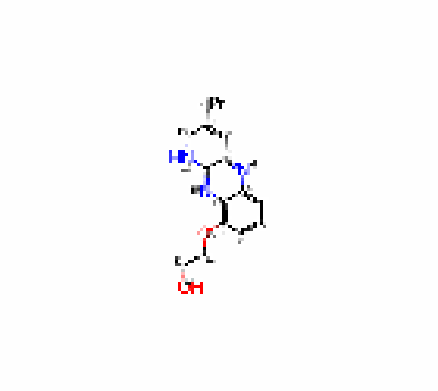 CC(C)C1=Cc2nc3cccc(OCCO)c3nc2NC1